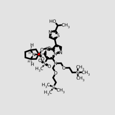 CC(O)c1ncc(-c2cnn3c(N(COCC[Si](C)(C)C)COCC[Si](C)(C)C)c(S(C)(=O)=O)c([C@@H]4C[C@H]5CC[C@@H](C4)N5C(=O)OC(C)(C)C)nc23)s1